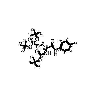 Cc1ccc(NC(=O)[C@@H](COP(=O)(OC(C)(C)C)OC(C)(C)C)NC(=O)OC(C)(C)C)cc1